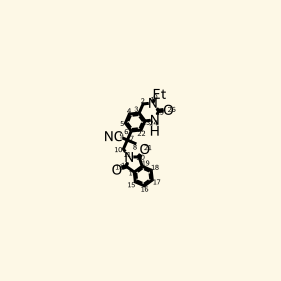 CCN1Cc2ccc(C(C)(C#N)CN3C(=O)c4ccccc4C3=O)cc2NC1=O